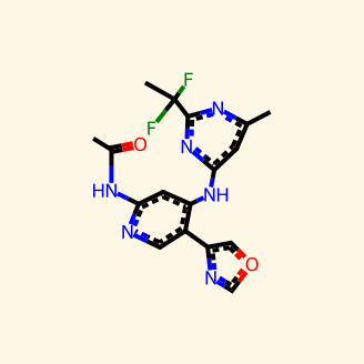 CC(=O)Nc1cc(Nc2cc(C)nc(C(C)(F)F)n2)c(-c2cocn2)cn1